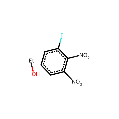 CCO.O=[N+]([O-])c1cccc(F)c1[N+](=O)[O-]